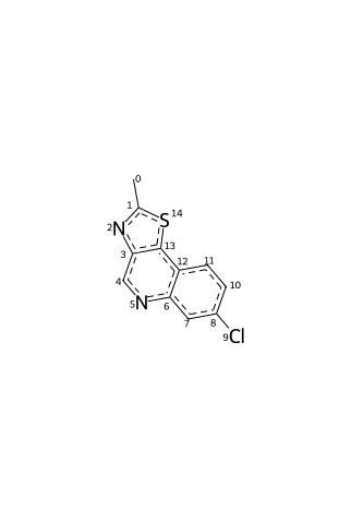 Cc1nc2cnc3cc(Cl)ccc3c2s1